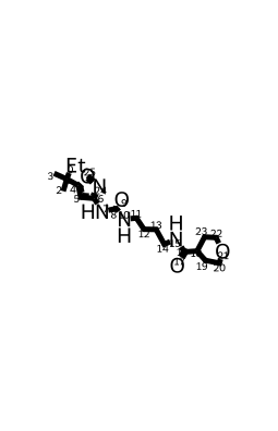 CCC(C)(C)c1cc(NC(=O)NCCCCNC(=O)C2CCOCC2)no1